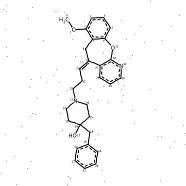 COc1cccc2c1C/C(=C/CCN1CCC(O)(Cc3ccccc3)CC1)c1cccnc1O2